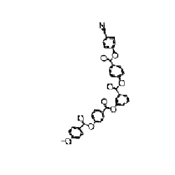 COc1ccc(C(=O)Oc2ccc(C(=O)Oc3cccc(C(=O)Oc4ccc(C(=O)Oc5ccc(C#N)cc5)cc4)c3)cc2)cc1